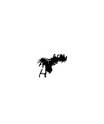 CC(=O)c1nn(CC(=O)N2CCC[C@H]2C(=O)Nc2cccc(C)n2)c2ccc(-c3cnc4ncccn34)cc12